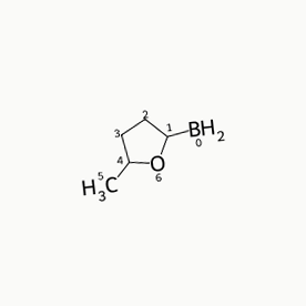 BC1CCC(C)O1